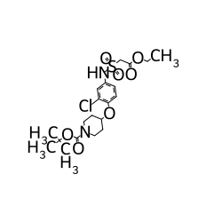 CCOC(=O)CS(=O)(=O)Nc1ccc(OC2CCN(C(=O)OC(C)(C)C)CC2)c(Cl)c1